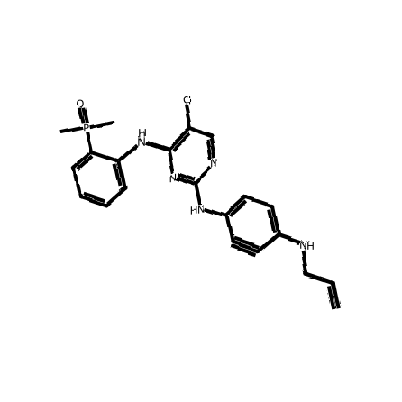 C=CCNc1c#cc(Nc2ncc(Cl)c(Nc3ccccc3P(C)(C)=O)n2)cc1